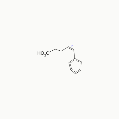 O=C(O)CC/C=C\c1ccccc1